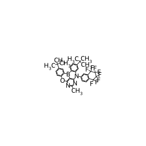 Cc1nc2c3c(n1)N(c1ccc4c(c1)C(F)(F)C(F)(F)C(F)(F)C4(F)F)c1cc(C(C)(C)C)ccc1B3c1cc(C(C)(C)C)ccc1O2